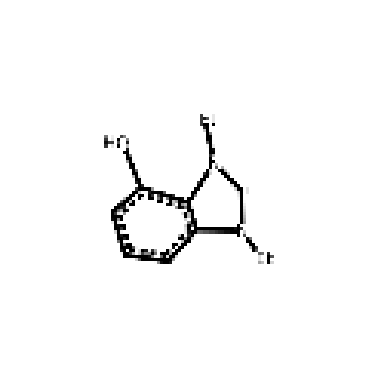 CCN1[C]N(CC)c2c(O)cccc21